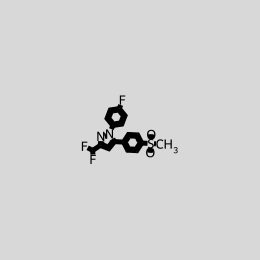 CS(=O)(=O)c1ccc(-c2cc(C(F)F)nn2-c2ccc(F)cc2)cc1